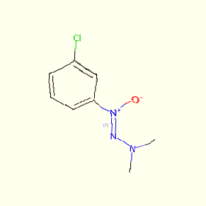 CN(C)/N=[N+](\[O-])c1cccc(Cl)c1